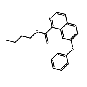 CCCCOC(=O)c1nccc2ccc(Sc3ccccc3)cc12